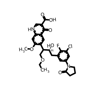 CCOCC(c1cc2c(=O)c(C(=O)O)c[nH]c2cc1OC)[C@H](O)Cc1cc(N2CCCC2=O)cc(Cl)c1F